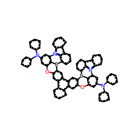 c1ccc(N(c2ccccc2)c2cc3c4c(c2)-n2c5ccccc5c5cccc(c52)B4c2cc4c(cc2O3)c2ccccc2c2cc3c(cc24)B2c4c(cc(N(c5ccccc5)c5ccccc5)cc4-n4c5ccccc5c5cccc2c54)O3)cc1